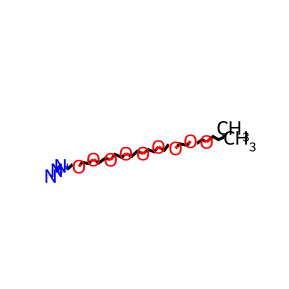 CC(C)CCOCCOCCOCCOCCOCCOCCOCCOCCOCCN=[N+]=[N-]